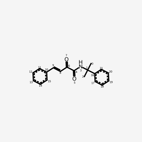 CC(C)(NC(=O)C(=O)/C=C/c1ccccc1)c1ccccc1